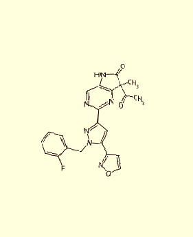 CC(=O)C1(C)C(=O)Nc2cnc(-c3cc(-c4ccon4)n(Cc4ccccc4F)n3)nc21